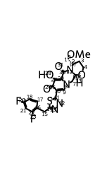 COC[C@@H]1CCO[C@H]2Cn3cc(-c4nnc(Cc5ccc(F)cc5F)s4)c(=O)c(O)c3C(=O)N12